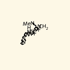 C=Nc1c(F)cc(-c2nc(Nc3ccc(CN4CCN5CCCC5C4)cn3)ncc2F)cc1CCCNC